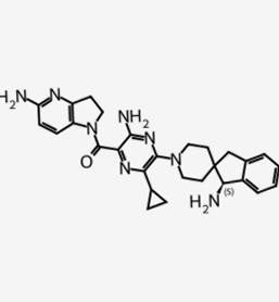 Nc1ccc2c(n1)CCN2C(=O)c1nc(C2CC2)c(N2CCC3(CC2)Cc2ccccc2[C@H]3N)nc1N